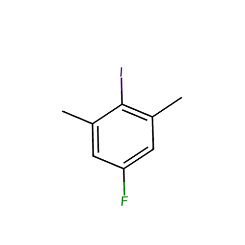 Cc1cc(F)cc(C)c1I